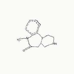 CN1C(=O)CC2CNCCN2c2ccccc21